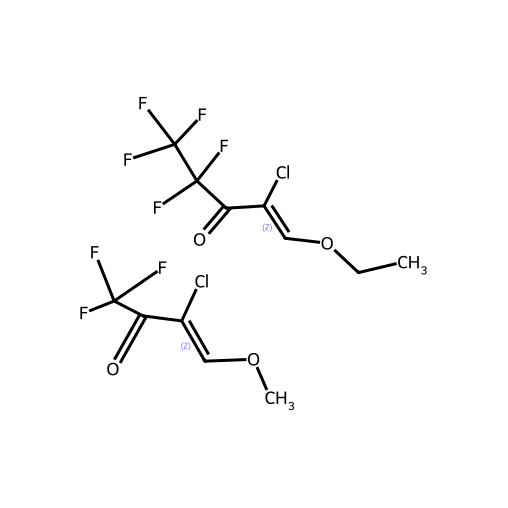 CCO/C=C(\Cl)C(=O)C(F)(F)C(F)(F)F.CO/C=C(\Cl)C(=O)C(F)(F)F